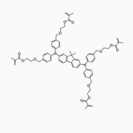 C=C(C)C(=O)OCCOCc1ccc(N(c2ccc(COCCOC(=O)C(=C)C)cc2)c2ccc3c(c2)C(C)(C)c2cc(N(c4ccc(COCCOC(=O)C(=C)C)cc4)c4ccc(COCCOC(=O)C(=C)C)cc4)ccc2-3)cc1